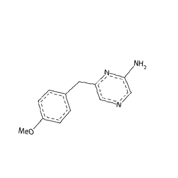 COc1ccc(Cc2cncc(N)n2)cc1